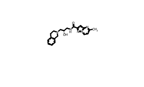 Cc1ccn2nc(C(=O)NC[C@H](O)CN3CCc4ccccc4C3)cc2n1